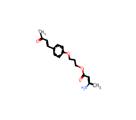 CC(=O)C=Cc1ccc(OCCCOC(=O)C=C(C)N)cc1